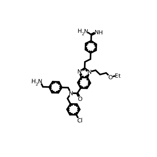 CCOCCCn1c(CCc2ccc(C(=N)N)cc2)nc2cc(C(=O)N(Cc3ccc(Cl)cc3)Cc3ccc(CN)cc3)ccc21